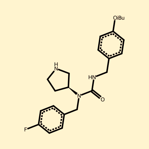 CC(C)COc1ccc(CNC(=O)N(Cc2ccc(F)cc2)[C@H]2CCNC2)cc1